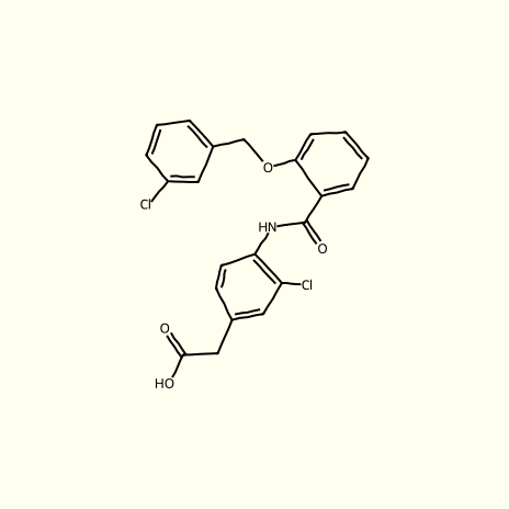 O=C(O)Cc1ccc(NC(=O)c2ccccc2OCc2cccc(Cl)c2)c(Cl)c1